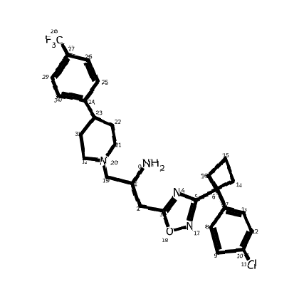 NC(Cc1nc(C2(c3ccc(Cl)cc3)CCC2)no1)CN1CCC(c2ccc(C(F)(F)F)cc2)CC1